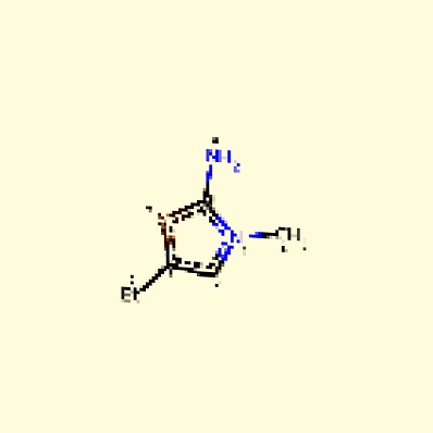 CCc1c[n+](C)c(N)s1